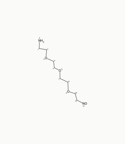 NCCOCCOCCOCCN=O